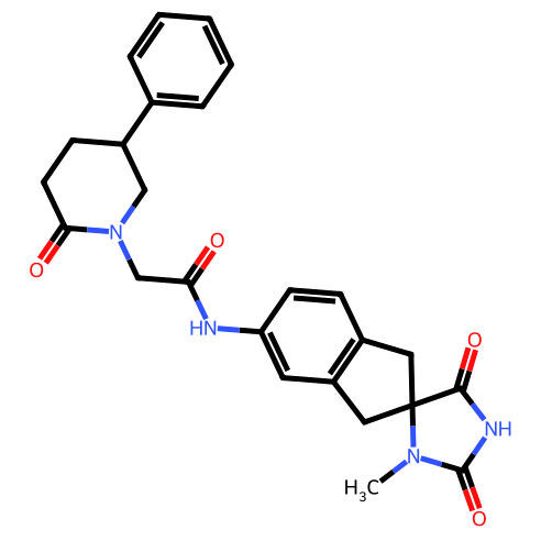 CN1C(=O)NC(=O)C12Cc1ccc(NC(=O)CN3CC(c4ccccc4)CCC3=O)cc1C2